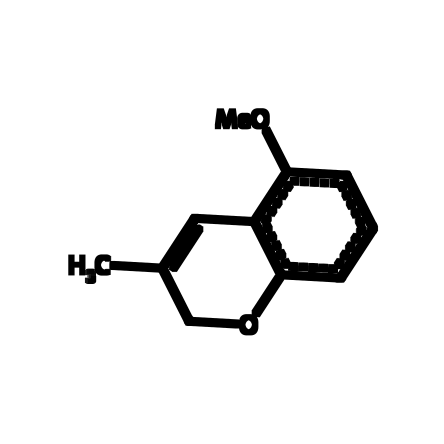 COc1cccc2c1C=C(C)CO2